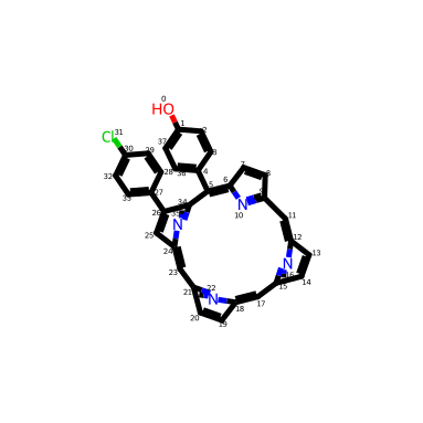 Oc1ccc(C2=C3C=CC(=N3)C=C3C=CC(=N3)C=C3C=CC(=N3)C=C3C=C(c4ccc(Cl)cc4)C2=N3)cc1